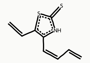 C=C/C=C\c1[nH]c(=S)sc1C=C